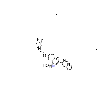 O/N=c1/cc(-c2cc3cccn3cn2)oc2ccc(OCCN3CCC(F)(F)C3)cc12